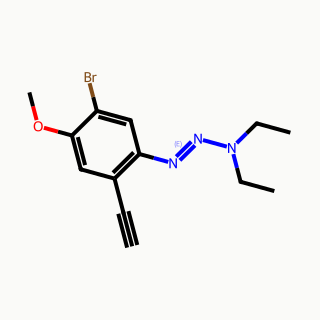 C#Cc1cc(OC)c(Br)cc1/N=N/N(CC)CC